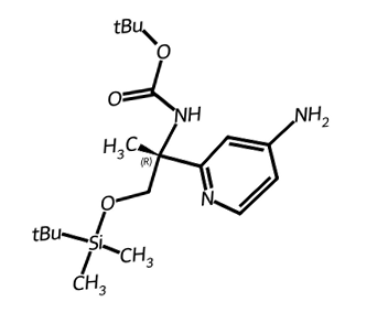 CC(C)(C)OC(=O)N[C@@](C)(CO[Si](C)(C)C(C)(C)C)c1cc(N)ccn1